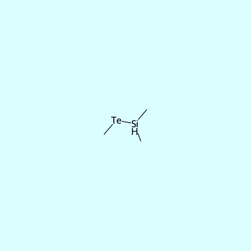 C[Te][SiH](C)C